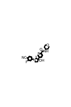 C[C@@H]1N(c2ccc(C#N)c(F)c2)CC[C@@]1(O)c1ccc(C(=O)NC2CCOCC2)nc1